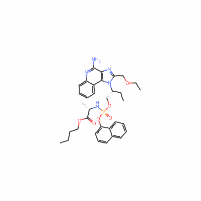 CCCCOC(=O)[C@H](C)NP(=O)(OC[C@@H](CC)n1c(COCC)nc2c(N)nc3ccccc3c21)Oc1cccc2ccccc12